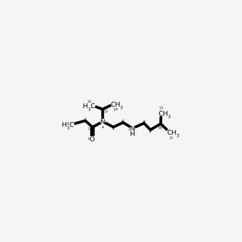 CCC(=O)N(CCNCCC(C)C)C(C)C